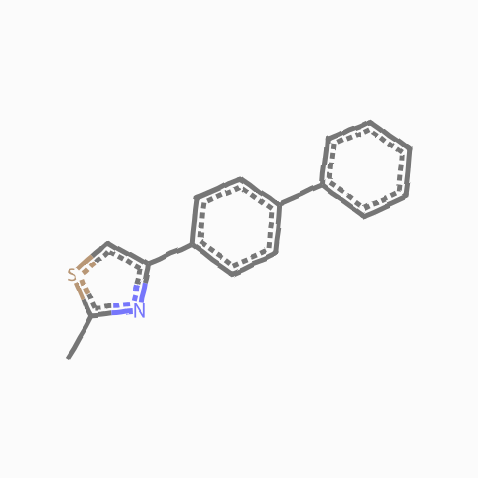 Cc1nc(-c2ccc(-c3ccccc3)cc2)cs1